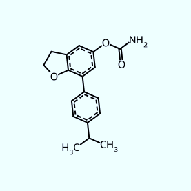 CC(C)c1ccc(-c2cc(OC(N)=O)cc3c2OCC3)cc1